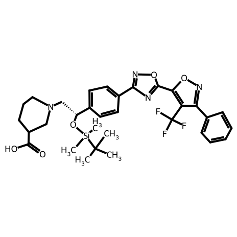 CC(C)(C)[Si](C)(C)O[C@H](CN1CCCC(C(=O)O)C1)c1ccc(-c2noc(-c3onc(-c4ccccc4)c3C(F)(F)F)n2)cc1